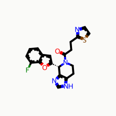 O=C(CCc1nccs1)N1CCc2[nH]cnc2[C@@H]1c1cc2cccc(F)c2o1